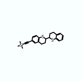 C[Si](C)(C)C#Cc1ccc2c(c1)CCC(C1CCc3ccccc3S1)S2